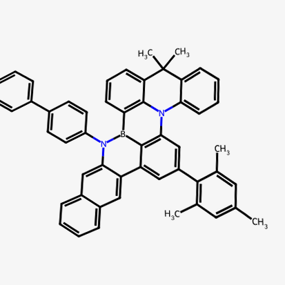 Cc1cc(C)c(-c2cc3c4c(c2)N2c5ccccc5C(C)(C)c5cccc(c52)B4N(c2ccc(-c4ccccc4)cc2)c2cc4ccccc4cc2-3)c(C)c1